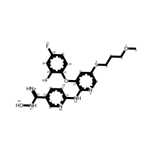 COCCCSc1cnc(Nc2ccc(C(=N)NO)cn2)c(Oc2ccc(F)cc2F)c1